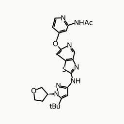 CC(=O)Nc1cc(Oc2cc3sc(Nc4cc(C(C)(C)C)n([C@H]5CCOC5)n4)nc3cn2)ccn1